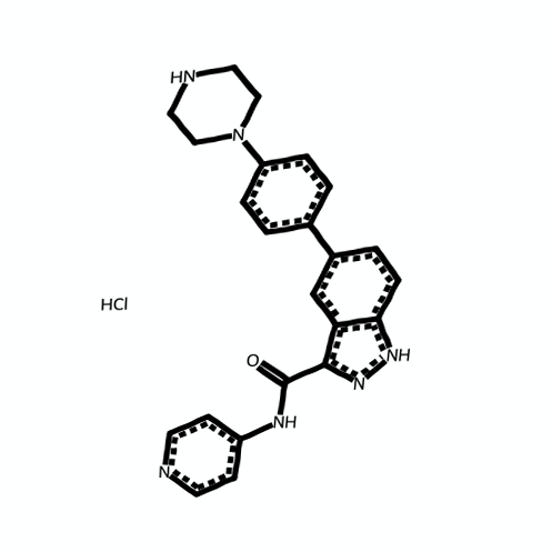 Cl.O=C(Nc1ccncc1)c1n[nH]c2ccc(-c3ccc(N4CCNCC4)cc3)cc12